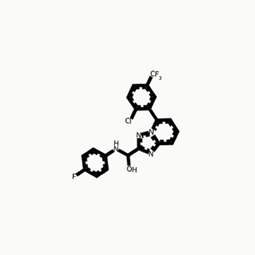 OC(Nc1ccc(F)cc1)c1nc2cccc(-c3cc(C(F)(F)F)ccc3Cl)n2n1